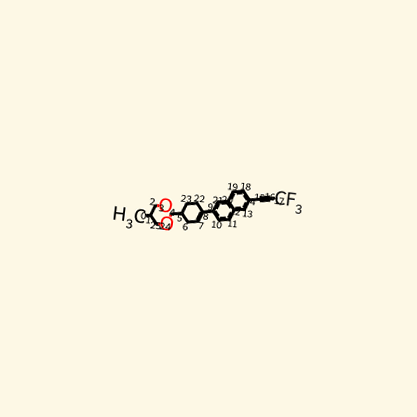 CC1COC(C2CC=C(c3ccc4cc(C#CC(F)(F)F)ccc4c3)CC2)OC1